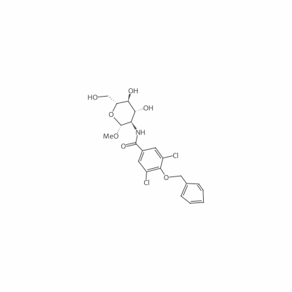 CO[C@@H]1O[C@H](CO)[C@@H](O)[C@H](O)[C@H]1NC(=O)c1cc(Cl)c(OCc2ccccc2)c(Cl)c1